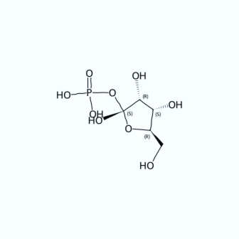 O=P(O)(O)O[C@@]1(O)O[C@H](CO)[C@@H](O)[C@H]1O